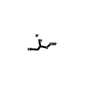 O=C([O-])OC(S)CS.[K+]